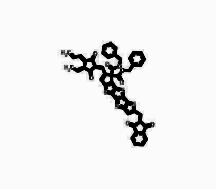 C=C/C=C1/C(=O)/C(=C/C2=Cc3sc4c(sc5c6sc(C=C7C(=O)c8ccccc8C7=O)cc6sc45)c3C2(C(=O)OCc2ccccc2)C(=O)OCc2ccccc2)C(=O)/C1=C/C